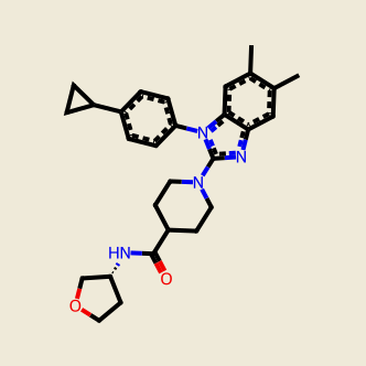 Cc1cc2nc(N3CCC(C(=O)N[C@@H]4CCOC4)CC3)n(-c3ccc(C4CC4)cc3)c2cc1C